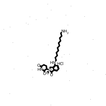 Cl.NCCCCCCCCCCCCNc1cccc2c1C[N+]([O-])(C1CCC(=O)NC1=O)C2=O